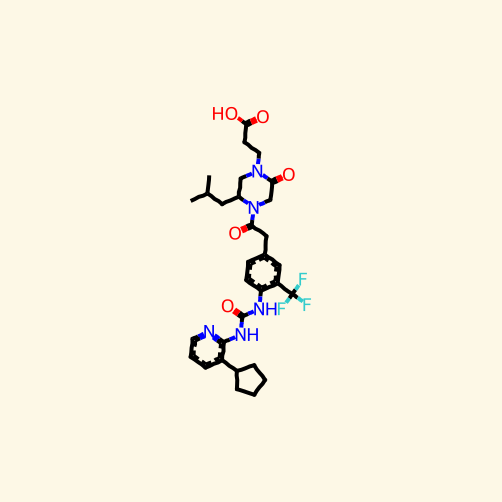 CC(C)CC1CN(CCC(=O)O)C(=O)CN1C(=O)Cc1ccc(NC(=O)Nc2ncccc2C2CCCC2)c(C(F)(F)F)c1